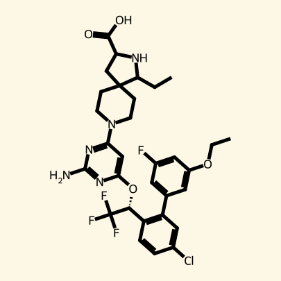 CCOc1cc(F)cc(-c2cc(Cl)ccc2[C@@H](Oc2cc(N3CCC4(CC3)CC(C(=O)O)NC4CC)nc(N)n2)C(F)(F)F)c1